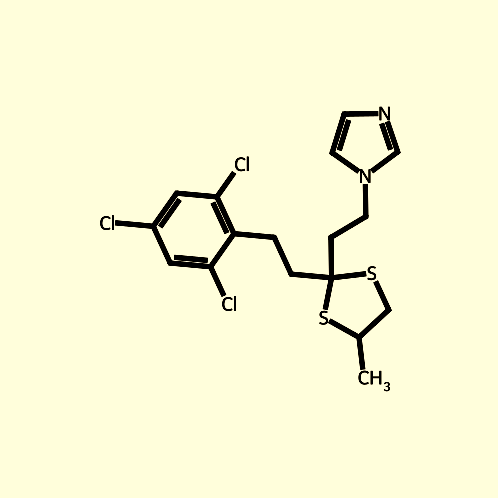 CC1CSC(CCc2c(Cl)cc(Cl)cc2Cl)(CCn2ccnc2)S1